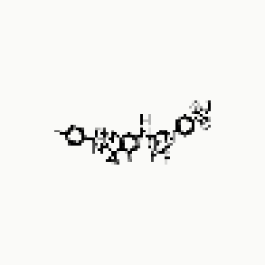 CCS(=O)(=O)c1ccc(N(CC(=O)Nc2cc(C)c(C3(c4noc(-c5ccc(F)cc5)n4)CC3)c(C)c2)CC(F)(F)F)cc1